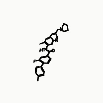 Cc1ccc(-c2ccc(C(=O)Nc3cc4ncc(CN5CCCC5)cc4cc3C)cc2F)cc1